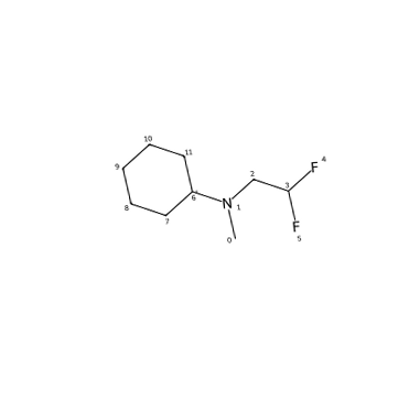 CN(CC(F)F)[C]1CCCCC1